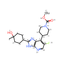 CC1(O)CCC(c2nc3c(C4CCN(C(=O)OC(C)(C)C)CC4)c(F)cnc3[nH]2)CC1